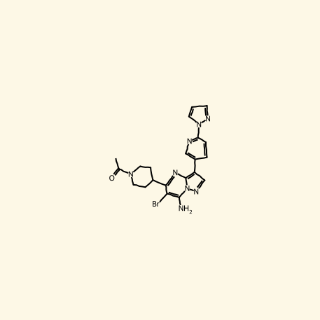 CC(=O)N1CCC(c2nc3c(-c4ccc(-n5cccn5)nc4)cnn3c(N)c2Br)CC1